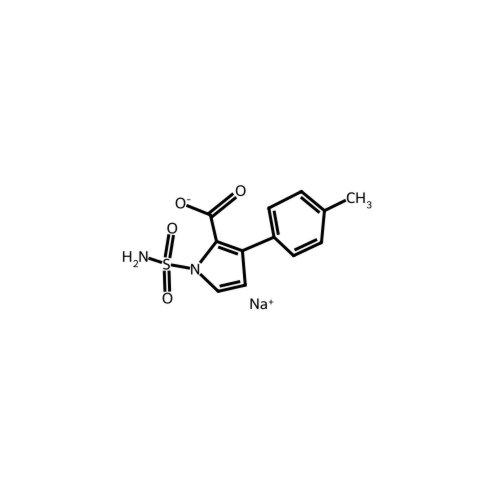 Cc1ccc(-c2ccn(S(N)(=O)=O)c2C(=O)[O-])cc1.[Na+]